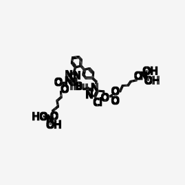 CCCCc1nc(Cl)c(COC(=O)OCCCCCON(O)O)n1Cc1ccc(-c2ccccc2-c2nnn(C(=O)OCCCCCON(O)O)n2)cc1